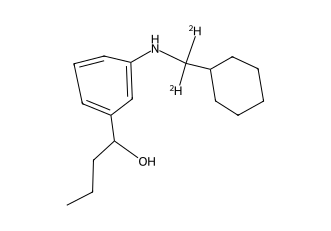 [2H]C([2H])(Nc1cccc(C(O)CCC)c1)C1CCCCC1